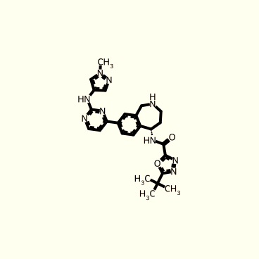 Cn1cc(Nc2nccc(-c3ccc4c(c3)CNCC[C@@H]4NC(=O)c3nnc(C(C)(C)C)o3)n2)cn1